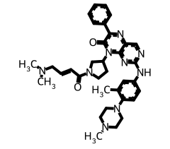 Cc1cc(Nc2ncc3nc(-c4ccccc4)c(=O)n(C4CCN(C(=O)C=CCN(C)C)C4)c3n2)ccc1N1CCN(C)CC1